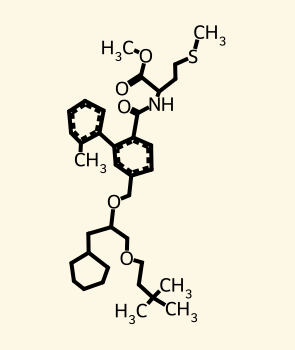 COC(=O)C(CCSC)NC(=O)c1ccc(COC(COCCC(C)(C)C)CC2CCCCC2)cc1-c1ccccc1C